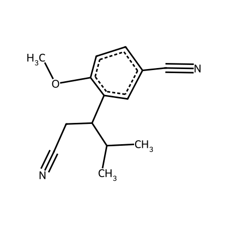 COc1ccc(C#N)cc1C(CC#N)C(C)C